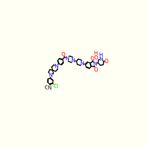 N#Cc1ccc(N2CCC3(CCN(c4ccc(C(=O)N5CCN(C6CCN(c7ccc8c(c7)C(=O)N(C7CCC(=O)NC7O)C8=O)CC6)CC5)cc4)CC3)C2)cc1Cl